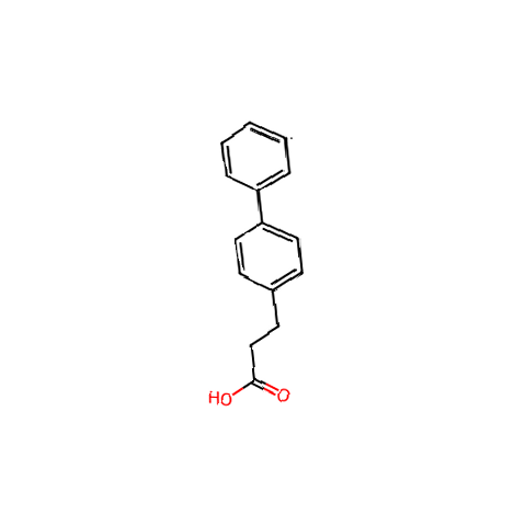 O=C(O)CCc1ccc(-c2c[c]ccc2)cc1